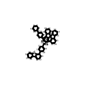 c1ccc(-c2ccc(-c3nc(-c4ccc(-c5cccc6c5sc5ccccc56)cc4)nc(-c4cccc5c4C4(c6ccccc6-c6ccccc64)c4ccccc4-5)n3)cc2)cc1